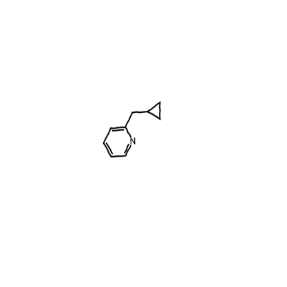 c1ccc(CC2CC2)nc1